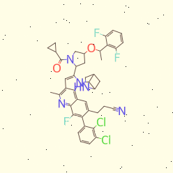 Cc1nc2c(F)c(-c3cccc(Cl)c3Cl)c(CCC#N)cc2c2c1cc(C1CC(OC(C)c3c(F)cccc3F)CN1C(=O)C1CC1)n2C1C2CNC1C2